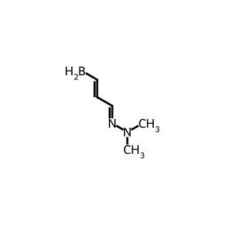 B/C=C/C=N/N(C)C